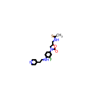 CC(=S)NCC1CN(c2ccc(NCCc3ccncc3)c(F)c2)C(=O)O1